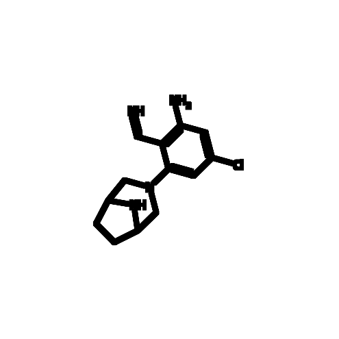 N=Cc1c(N)cc(Cl)cc1N1CC2CCC(C1)N2